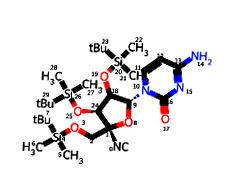 [C-]#[N+][C@]1(CO[Si](C)(C)C(C)(C)C)O[C@@H](n2ccc(N)nc2=O)C(O[Si](C)(C)C(C)(C)C)[C@@H]1O[Si](C)(C)C(C)(C)C